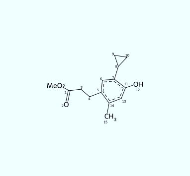 COC(=O)CCc1cc(C2CC2)c(O)cc1C